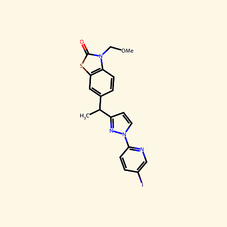 COCn1c(=O)sc2cc(C(C)c3ccn(-c4ccc(I)cn4)n3)ccc21